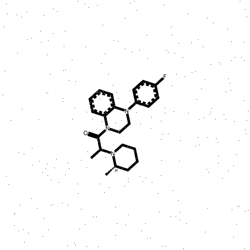 CC(C(=O)N1CCN(c2ccc(F)cc2)c2ccccc21)N1CCCC[C@H]1C